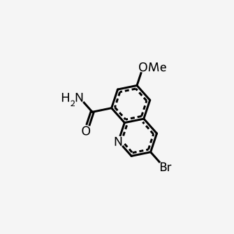 COc1cc(C(N)=O)c2ncc(Br)cc2c1